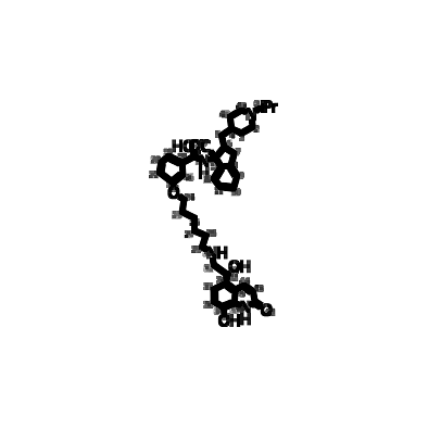 CC(C)N1CCC(CC2Cc3ccccc3C2(NC(=O)c2cccc(OCCCCCCNCC(O)c3ccc(O)c4[nH]c(=O)ccc34)c2)C(=O)O)CC1